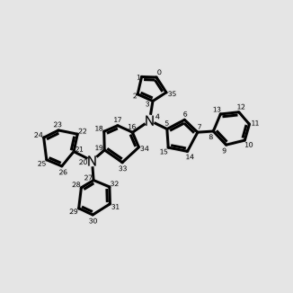 C1=CC=C(N(C2=C=C(c3ccccc3)C=C2)c2ccc(N(c3ccccc3)c3ccccc3)cc2)C=1